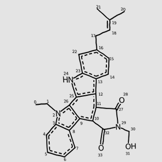 CCn1c2ccccc2c2c3c(c4c5ccc(CC=C(C)C)cc5[nH]c4c21)C(=O)N(CO)C3=O